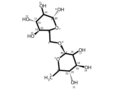 CC1O[C@@H](OCC2O[C@@H](O)C(O)[C@@H](O)[C@@H]2O)C(O)[C@@H](O)[C@@H]1O